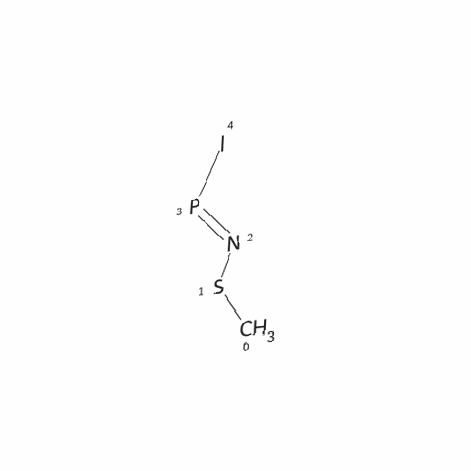 CSN=PI